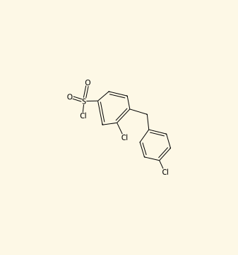 O=S(=O)(Cl)c1ccc(Cc2ccc(Cl)cc2)c(Cl)c1